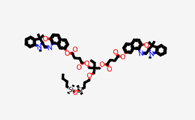 CCCC[Si](C)(C)O[Si](C)(C)CCCOCC(CC)(COC(=O)CCC(=O)Oc1ccc2ccc3c(c2c1)N=CC1(O3)N(C)c2ccccc2C1(C)C)COC(=O)CCC(=O)Oc1ccc2ccc3c(c2c1)N=CC1(O3)N(C)c2ccccc2C1(C)C